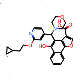 O=C(O)c1coc2c1c(C(c1ccnc(OCCC3CC3)c1)N1CCOCC1)c(O)c1ccccc12